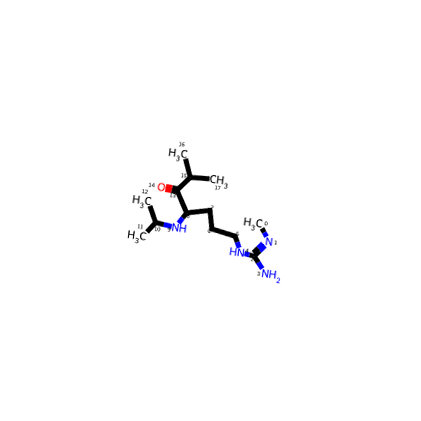 C/N=C(/N)NCCCC(NC(C)C)C(=O)C(C)C